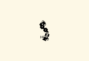 CS(=O)(=O)n1ccc2ccc(-c3ccc(CN4CCN(C(=O)C5(O)CC5)CC4)cc3)cc21